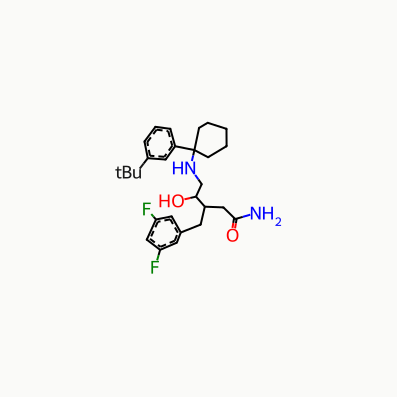 CC(C)(C)c1cccc(C2(NCC(O)C(CC(N)=O)Cc3cc(F)cc(F)c3)CCCCC2)c1